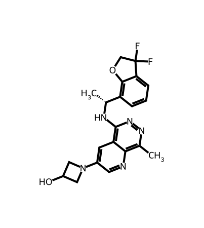 Cc1nnc(N[C@H](C)c2cccc3c2OCC3(F)F)c2cc(N3CC(O)C3)cnc12